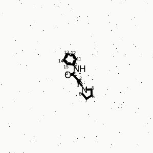 O=C(C#CN1CCCC1)Nc1ccccc1